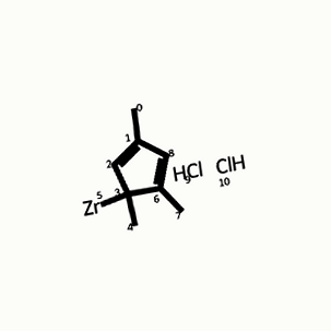 CC1=C[C](C)([Zr])C(C)=C1.Cl.Cl